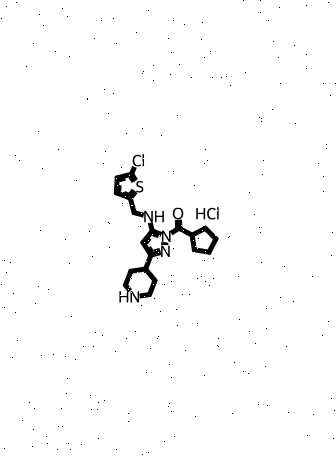 Cl.O=C(C1CCCC1)n1nc(C2CCNCC2)cc1NCc1ccc(Cl)s1